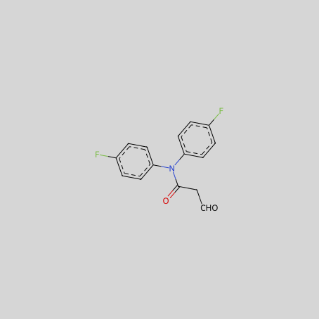 O=CCC(=O)N(c1ccc(F)cc1)c1ccc(F)cc1